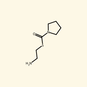 NCCSC(=O)N1CCCC1